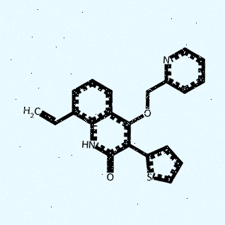 C=Cc1cccc2c(OCc3ccccn3)c(-c3cccs3)c(=O)[nH]c12